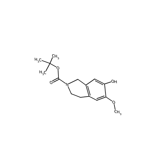 COc1cc2c(cc1O)CN(C(=O)OC(C)(C)C)CC2